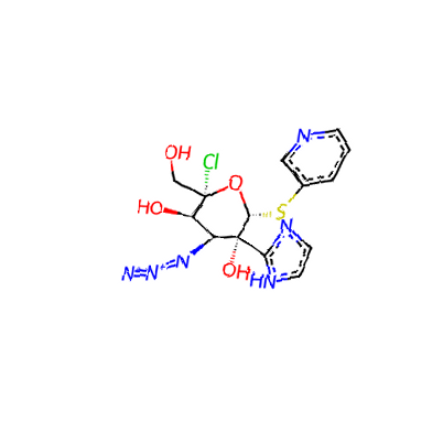 [N-]=[N+]=N[C@H]1[C@@H](O)[C@@](Cl)(CO)O[C@H](Sc2cccnc2)[C@@]1(O)c1ncc[nH]1